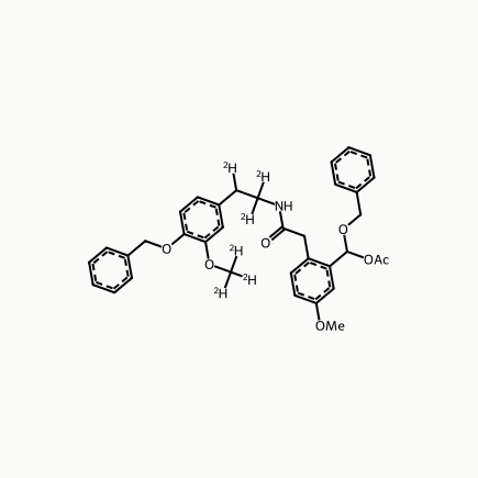 [2H]C(c1ccc(OCc2ccccc2)c(OC([2H])([2H])[2H])c1)C([2H])([2H])NC(=O)Cc1ccc(OC)cc1C(OCc1ccccc1)OC(C)=O